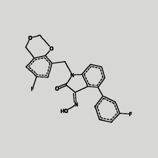 O=C1/C(=N\O)c2c(-c3cccc(F)c3)cccc2N1Cc1cc(F)cc2c1OCOC2